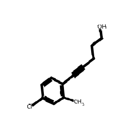 Cc1cc(Cl)ccc1C#CCCCO